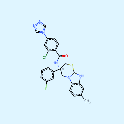 Cc1ccc2c(c1)NC1SC[C@](NC(=O)c3ccc(-n4cnnc4)cc3Cl)(c3cccc(F)c3)CN21